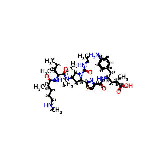 CCNC(=O)N1C(C)[C@H](N(C)C(=O)[C@@H](NC(=O)[C@@H](C)CCCNC)[C@@H](C)CC)C[C@@H]1c1nc(C(=O)N[C@@H](Cc2ccc(N)cc2)C[C@H](C)C(=O)O)cs1